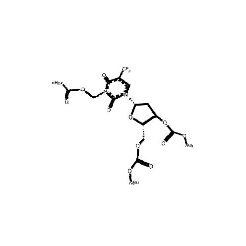 CCCCCCC(=O)OCn1c(=O)c(C(F)(F)F)cn([C@@H]2CC(OC(=O)OCCCC)[C@H](COC(=O)OCCCC)O2)c1=O